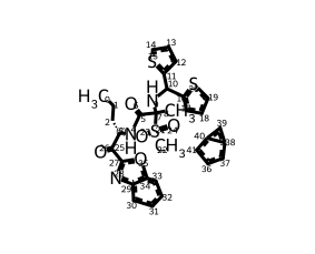 CCC[C@H](NC(=O)C(C)(NC(c1cccs1)c1cccs1)S(C)(=O)=O)C(=O)c1nc2ccccc2o1.c1cc2cc-2c1